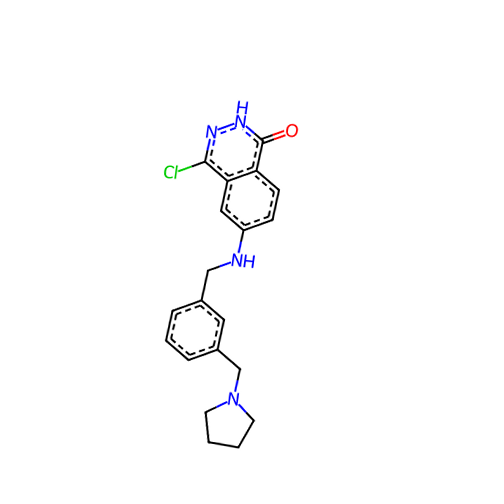 O=c1[nH]nc(Cl)c2cc(NCc3cccc(CN4CCCC4)c3)ccc12